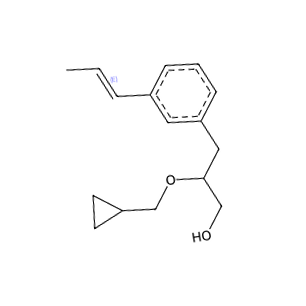 C/C=C/c1cccc(CC(CO)OCC2CC2)c1